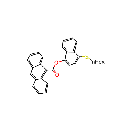 CCCCCCSc1ccc(OC(=O)c2c3ccccc3cc3ccccc23)c2ccccc12